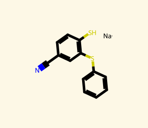 N#Cc1ccc(S)c(Sc2ccccc2)c1.[Na]